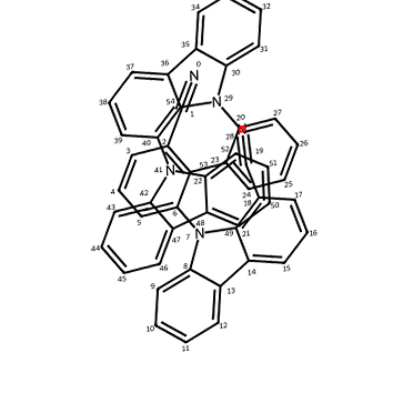 N#Cc1cccc(-n2c3ccccc3c3cccc(C#N)c32)c1-c1ccccc1-n1c2ccccc2c2cccc(-n3c4ccccc4c4ccccc43)c21